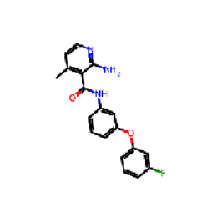 Cc1ccnc(N)c1C(=O)Nc1cccc(Oc2cccc(F)c2)c1